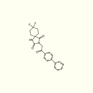 O=C(CN1C(=O)NC2(CCC(F)(F)CC2)C1=O)c1ccc(-c2cccnc2)cc1